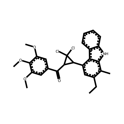 CCc1cc(C2C(C(=O)c3cc(OC)c(OC)c(OC)c3)C2(Cl)Cl)c2c([nH]c3ccccc32)c1C